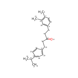 Cc1ccc(CCC(=O)CCc2ccc(C(C)C)cc2)cc1C